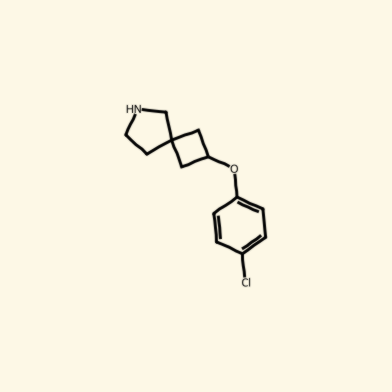 Clc1ccc(OC2CC3(CCNC3)C2)cc1